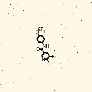 O=C(Nc1ccc(OC(F)(F)F)cc1)c1cnc(I)c(Br)c1